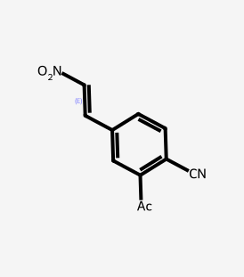 CC(=O)c1cc(/C=C/[N+](=O)[O-])ccc1C#N